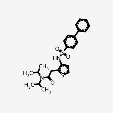 CC(C)N(C(=O)Cc1sccc1NS(=O)(=O)c1ccc(-c2ccccc2)cc1)C(C)C